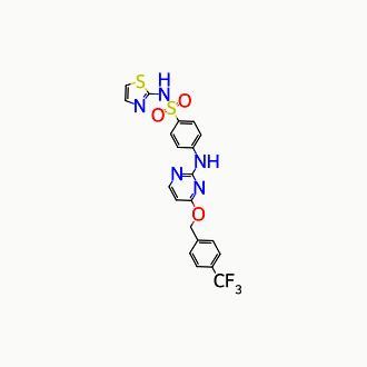 O=S(=O)(Nc1nccs1)c1ccc(Nc2nccc(OCc3ccc(C(F)(F)F)cc3)n2)cc1